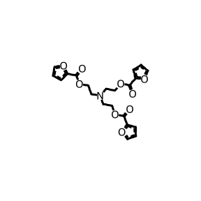 O=C(OCCN(CCOC(=O)c1ccco1)CCOC(=O)c1ccco1)c1ccco1